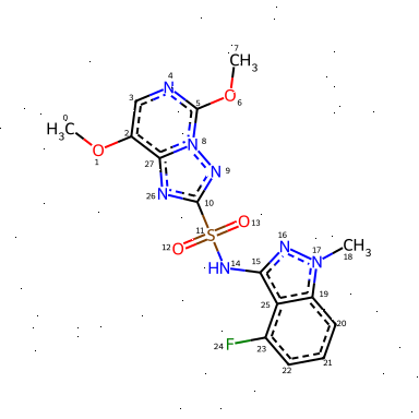 COc1cnc(OC)n2nc(S(=O)(=O)Nc3nn(C)c4cccc(F)c34)nc12